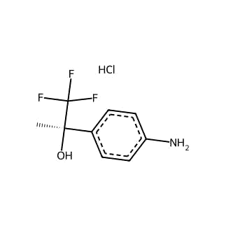 C[C@@](O)(c1ccc(N)cc1)C(F)(F)F.Cl